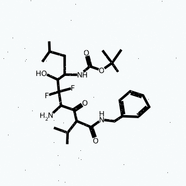 CC(C)CC(NC(=O)OC(C)(C)C)C(O)C(F)(F)C(N)C(=O)C(C(=O)NCc1ccccc1)C(C)C